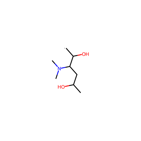 [CH2]C(O)C(CC(C)O)N(C)C